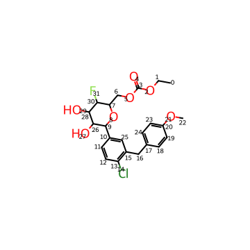 CCOC(=O)OCC1OC(c2ccc(Cl)c(Cc3ccc(OC)cc3)c2)C(O)C(O)C1F